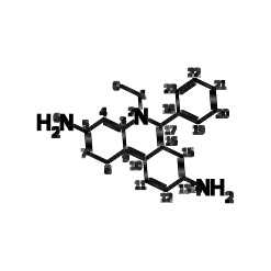 CCN1C2=CC(N)=CCC2=c2ccc(N)cc2=C1c1ccccc1